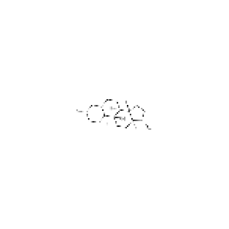 CC(=O)[C@H]1CC[C@H]2[C@@H]3CCC4C[C@@H](C)CC[C@]4(C)[C@H]3CC[C@]12C